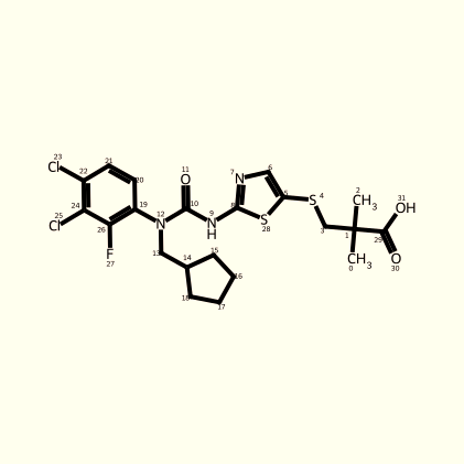 CC(C)(CSc1cnc(NC(=O)N(CC2CCCC2)c2ccc(Cl)c(Cl)c2F)s1)C(=O)O